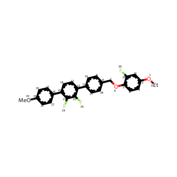 CCOc1ccc(OCc2ccc(-c3ccc(-c4ccc(OC)cc4)c(F)c3F)cc2)c(F)c1